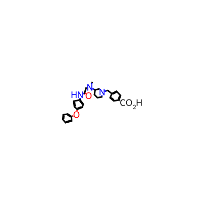 CN(CC(=O)Nc1ccc(Oc2ccccc2)cc1)C1CCCN(Cc2ccc(C(=O)O)cc2)C1